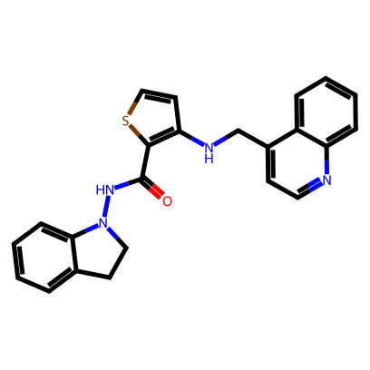 O=C(NN1CCc2ccccc21)c1sccc1NCc1ccnc2ccccc12